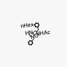 CCCCCCc1cccc(C[C@@H](C[C@@H]2NCCN(Cc3ccccc3)C2=O)NC(C)=O)c1